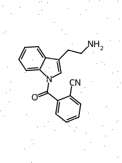 N#Cc1ccccc1C(=O)n1cc(CCN)c2ccccc21